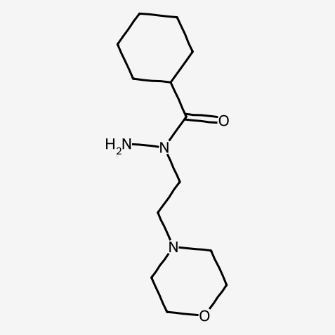 NN(CCN1CCOCC1)C(=O)C1CCCCC1